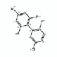 Fc1c[c]c(Cl)cc1-c1c(F)cc(Br)cc1F